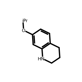 CC(C)Oc1ccc2c(c1)NCCC2